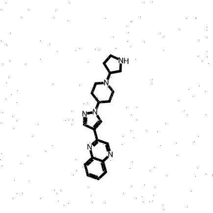 c1ccc2nc(-c3cnn(C4CCN(C5CCNC5)CC4)c3)cnc2c1